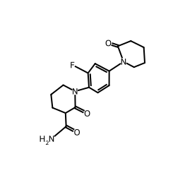 NC(=O)C1CCCN(c2ccc(N3CCCCC3=O)cc2F)C1=O